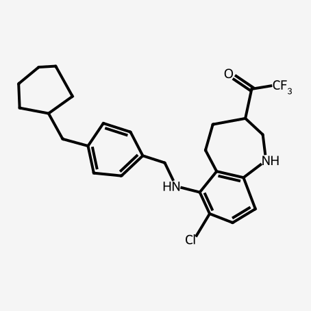 O=C(C1CCc2c(ccc(Cl)c2NCc2ccc(CC3CCCCC3)cc2)NC1)C(F)(F)F